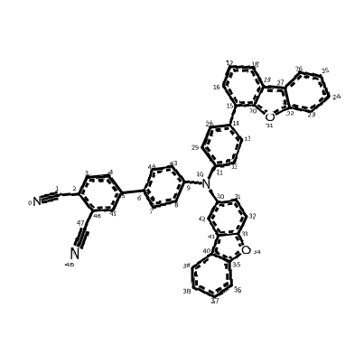 N#Cc1ccc(-c2ccc(N(c3ccc(-c4cccc5c4oc4ccccc45)cc3)c3ccc4oc5ccccc5c4c3)cc2)cc1C#N